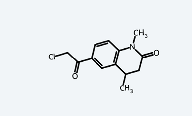 CC1CC(=O)N(C)c2ccc(C(=O)CCl)cc21